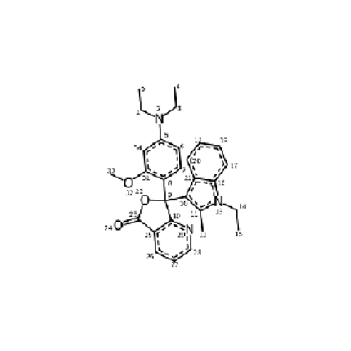 CCN(CC)c1ccc(C2(c3c(C)n(CC)c4ccccc34)OC(=O)c3cccnc32)c(OC)c1